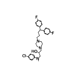 CN(CC(O)CN1CCN(CCCC(c2ccc(F)cc2)c2ccc(F)cc2)CC1)c1ccc(Cl)cc1